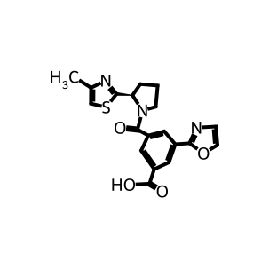 Cc1csc([C@H]2CCCN2C(=O)c2cc(C(=O)O)cc(-c3ncco3)c2)n1